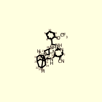 N#Cc1cnc(NCc2ccccc2OC(F)(F)F)nc1NC[C@]12CC3C[C@H](C1)[C@@H](N1CC(N)C1)[C@@H](C3)C2